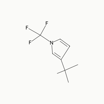 CC(C)(C)c1ccn(C(F)(F)F)c1